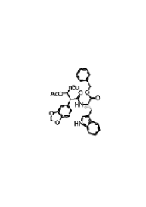 CCCCC(OC(C)=O)C(C(=O)N[C@@H](Cc1c[nH]c2ccccc12)C(=O)OCc1ccccc1)c1ccc2c(c1)OCO2